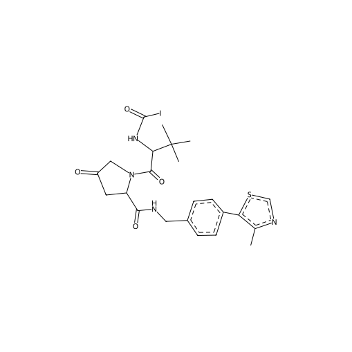 Cc1ncsc1-c1ccc(CNC(=O)C2CC(=O)CN2C(=O)C(NC(=O)I)C(C)(C)C)cc1